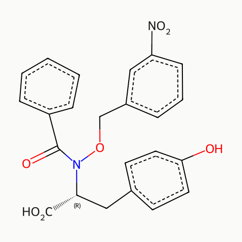 O=C(O)[C@@H](Cc1ccc(O)cc1)N(OCc1cccc([N+](=O)[O-])c1)C(=O)c1ccccc1